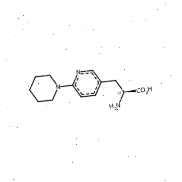 N[C@@H](Cc1ccc(N2CCCCC2)nc1)C(=O)O